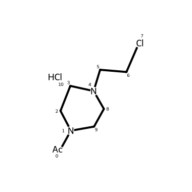 CC(=O)N1CCN(CCCl)CC1.Cl